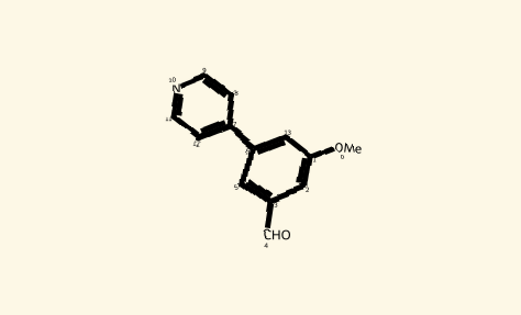 COc1cc(C=O)cc(-c2ccncc2)c1